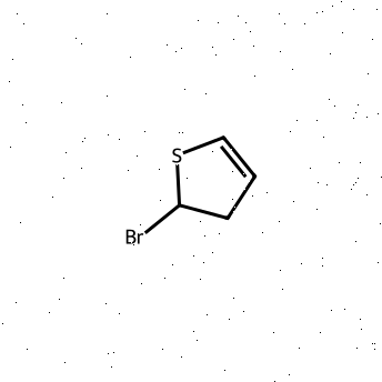 BrC1CC=CS1